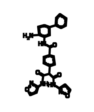 Nc1ccc(-c2ccccc2)cc1NC(=O)c1ccc(C(C(=O)Nc2ccon2)C(=O)Nc2ccon2)cc1